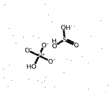 O=S(O)O.[O-][I+3]([O-])([O-])O